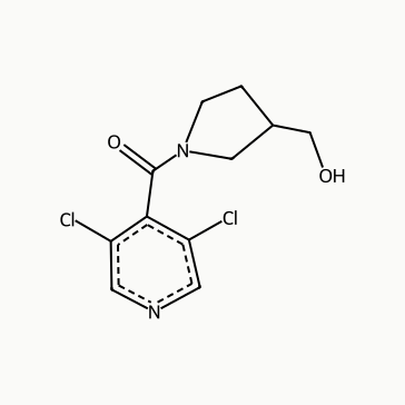 O=C(c1c(Cl)cncc1Cl)N1CCC(CO)C1